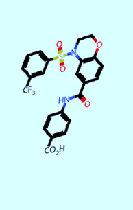 O=C(O)c1ccc(NC(=O)c2ccc3c(c2)N(S(=O)(=O)c2cccc(C(F)(F)F)c2)CCO3)cc1